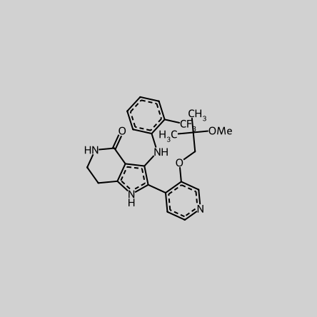 COC(C)(C)COc1cnccc1-c1[nH]c2c(c1Nc1ccccc1C(F)(F)F)C(=O)NCC2